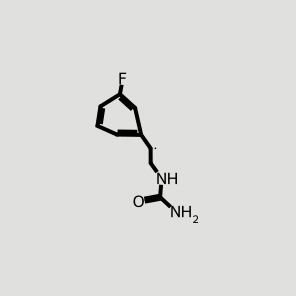 NC(=O)NC[CH]c1cccc(F)c1